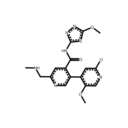 CNCc1cc(C(=O)Nc2nnc(OC)s2)c(-c2cc(Cl)ncc2OC)cn1